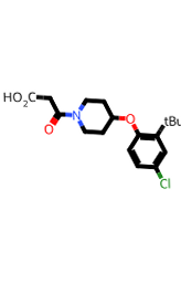 CC(C)(C)c1cc(Cl)ccc1OC1CCN(C(=O)CC(=O)O)CC1